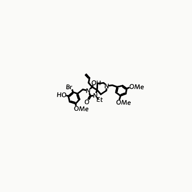 C=CCC1(O)N(Cc2cc(OC)cc(O)c2Br)C(=O)N(CC)C12CCN(Cc1cc(OC)cc(OC)c1)CC2